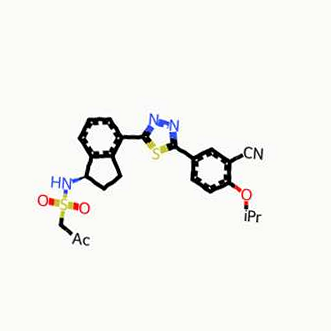 CC(=O)CS(=O)(=O)N[C@@H]1CCc2c(-c3nnc(-c4ccc(OC(C)C)c(C#N)c4)s3)cccc21